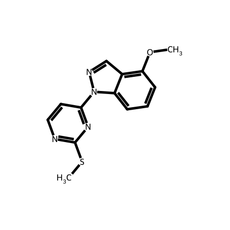 COc1cccc2c1cnn2-c1ccnc(SC)n1